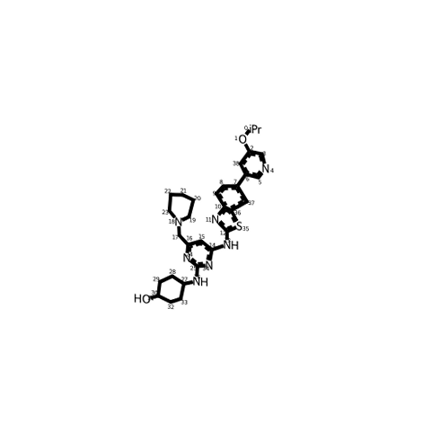 CC(C)Oc1cncc(-c2ccc3nc(Nc4cc(CN5CCCCC5)nc(NC5CCC(O)CC5)n4)sc3c2)c1